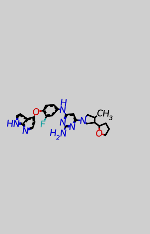 CC1CN(c2cc(Nc3ccc(Oc4ccnc5[nH]ccc45)c(F)c3)nc(N)n2)CC1C1CCCO1